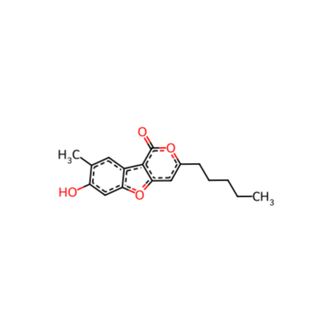 CCCCCc1cc2oc3cc(O)c(C)cc3c2c(=O)o1